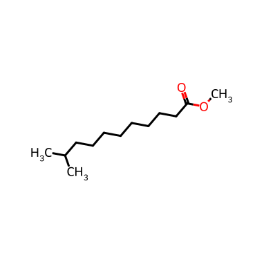 COC(=O)CCCCCCCCC(C)C